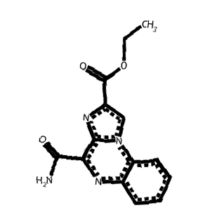 CCOC(=O)c1cn2c(n1)c(C(N)=O)nc1ccccc12